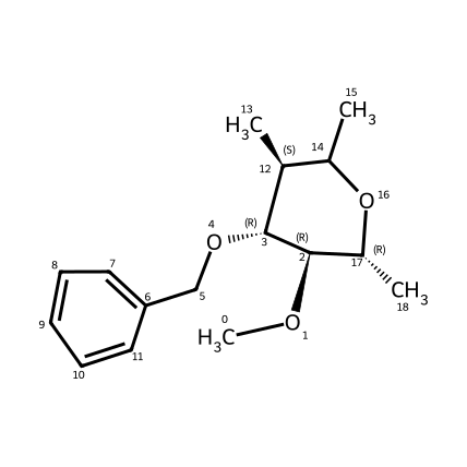 CO[C@H]1[C@H](OCc2ccccc2)[C@@H](C)C(C)O[C@@H]1C